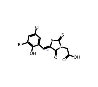 O=C(O)CN1C(=O)/C(=C/c2cc(Cl)cc(Br)c2O)SC1=S